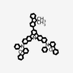 CC1(C)c2ccccc2-c2ccc(-c3cc4c5cc6ccc(N(c7ccccc7)c7cccc8c7oc7ccccc78)cc6cc5n5c6cc7cc(N(c8ccccc8)c8cccc9c8oc8ccccc89)ccc7cc6c(c3)c45)cc21